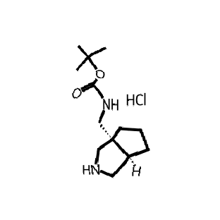 CC(C)(C)OC(=O)NC[C@]12CCC[C@H]1CNC2.Cl